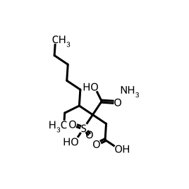 CCCCCC(CC)C(CC(=O)O)(C(=O)O)S(=O)(=O)O.N